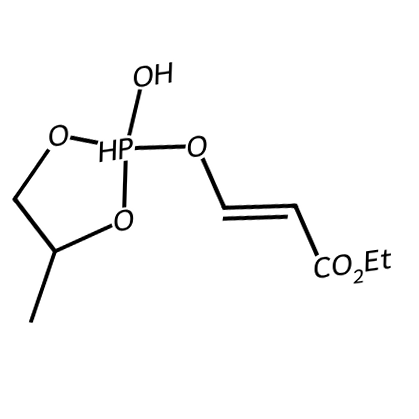 CCOC(=O)C=CO[PH]1(O)OCC(C)O1